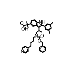 Cc1cc(C)cc(-c2[nH]c3ccc(C(C)(C)C(=O)O)cc3c2C(C)CN(CCCCc2ccncc2)C(=O)OCc2ccccc2)c1